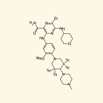 [2H]C1([2H])CN(c2ccc(Nc3nc(NC4CCOCC4)c(CC)nc3C(N)=O)cc2OC)CC([2H])([2H])C1N1CCN(C)CC1